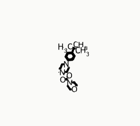 CC(C)(C)c1ccc(N2CC[N][C@@H](OC(=O)N3CCOCC3)C2)cc1